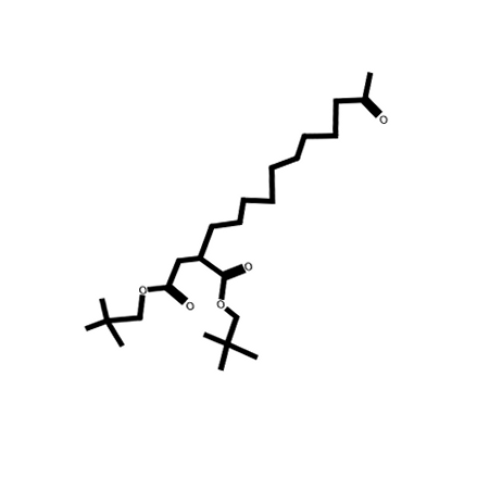 CC(=O)CCCCCCCCCC(CC(=O)OCC(C)(C)C)C(=O)OCC(C)(C)C